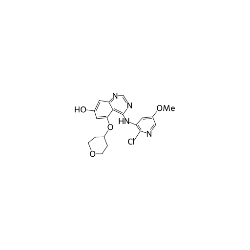 COc1cnc(Cl)c(Nc2ncnc3cc(O)cc(OC4CCOCC4)c23)c1